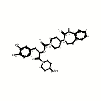 CNC1CCN(C(=O)C(Cc2ccc(Cl)c(Cl)c2)OC(=O)N2CCC(N3CCc4ccccc4NC3=O)CC2)CC1